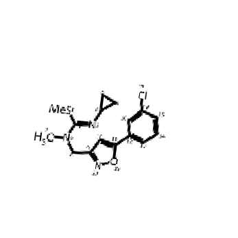 CSC(=NC1CC1)N(C)Cc1cc(-c2cccc(Cl)c2)on1